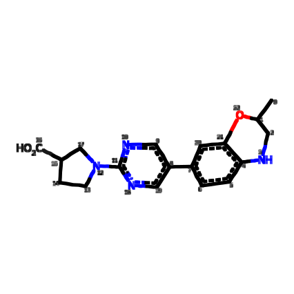 CC1CNc2ccc(-c3cnc(N4CCC(C(=O)O)C4)nc3)cc2O1